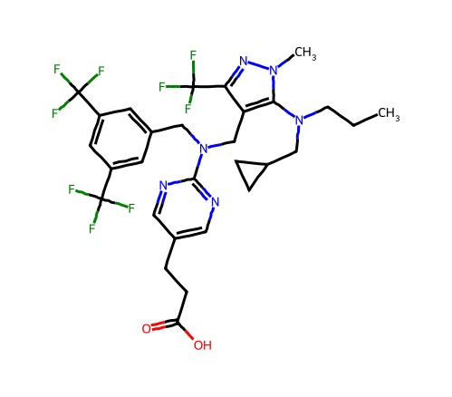 CCCN(CC1CC1)c1c(CN(Cc2cc(C(F)(F)F)cc(C(F)(F)F)c2)c2ncc(CCC(=O)O)cn2)c(C(F)(F)F)nn1C